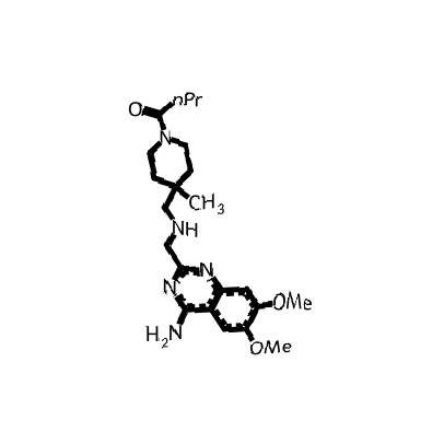 CCCC(=O)N1CCC(C)(CNCc2nc(N)c3cc(OC)c(OC)cc3n2)CC1